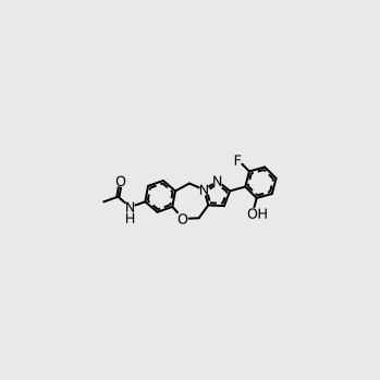 CC(=O)Nc1ccc2c(c1)OCc1cc(-c3c(O)cccc3F)nn1C2